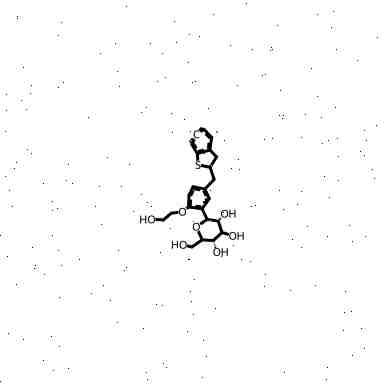 OCCOc1ccc(CC2Cc3ccccc3S2)cc1C1OC(CO)[C@@H](O)C(O)[C@H]1O